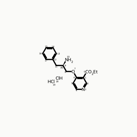 CCOC(=O)c1cnccc1OC[C@H](N)Cc1ccccc1.Cl.Cl